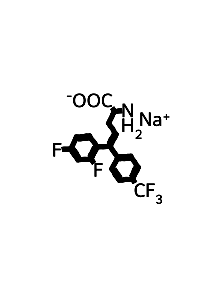 NC(C/C=C(/c1ccc(C(F)(F)F)cc1)c1ccc(F)cc1F)C(=O)[O-].[Na+]